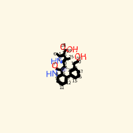 Cc1[nH]c(/C=C2\C(=O)Nc3cccc(-c4cccc(CCO)c4)c32)c(C)c1C(=O)O